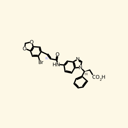 O=C(O)C[C@@H](c1ccccc1)n1cnc2cc(NC(=O)/C=C/c3cc4c(cc3Br)OCO4)ccc21